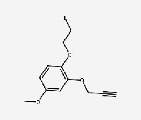 C#CCOc1cc(OC)ccc1OCCI